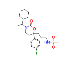 CC(C1CCCCC1)N1CCC(CCCNS(C)(=O)=O)(c2ccc(F)cc2)OC1=O